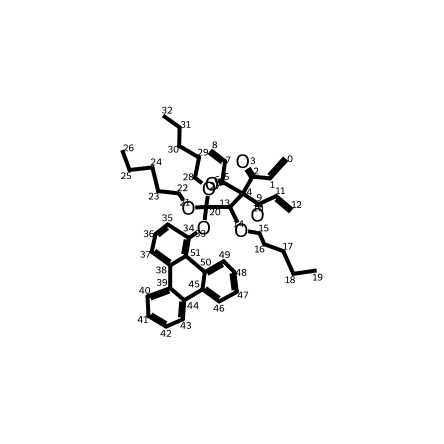 C=CC(=O)C(C(=O)C=C)(C(=O)C=C)C(OCCCCC)C(OCCCCC)(OCCCCC)Oc1cccc2c3ccccc3c3ccccc3c12